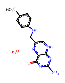 Nc1nc2[nH]cc(CNc3ccc(C(=O)O)cc3)nc-2c(=O)n1.O